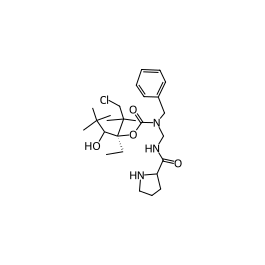 CC[C@](OC(=O)N(CNC(=O)C1CCCN1)Cc1ccccc1)(C(O)C(C)(C)C)C(C)(C)CCl